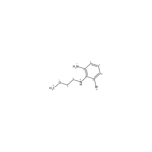 COCCNc1c(N)cccc1Br